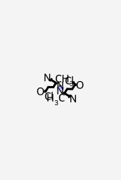 CC(C#N)(CCC(=O)Cl)/N=N/C(C)(C#N)CCC(=O)Cl